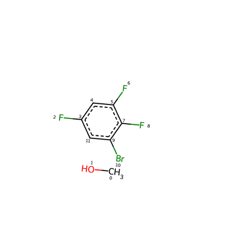 CO.Fc1cc(F)c(F)c(Br)c1